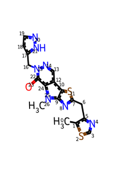 Cc1scnc1Cc1nc2c(s1)c1cnn(Cc3ccn[nH]3)c(=O)c1n2C